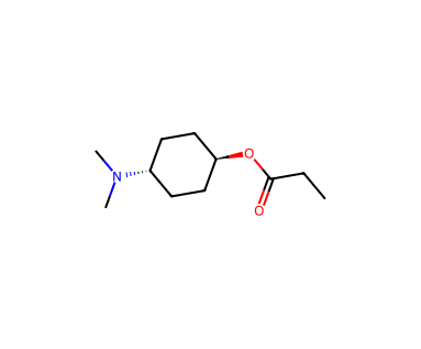 CCC(=O)O[C@H]1CC[C@H](N(C)C)CC1